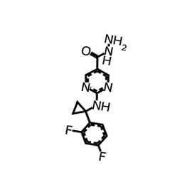 NNC(=O)c1cnc(NC2(c3ccc(F)cc3F)CC2)nc1